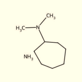 CN(C)C1CCCCCC1.N